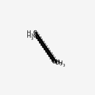 CCCCCCCCCCCCCCCCCCCCCCCC.CCCCCCCCCCCCCCCCCCCCCCCCCCCC